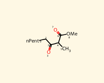 CCCCCCC(=O)C(C)C(=O)OC